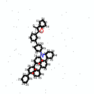 Cc1c(-c2cccc(-c3ccc(N(c4ccc(-c5ccc(-c6ccccc6)cc5)cc4)c4ccccc4-c4ccc(-c5ccccc5)cc4)cc3)c2)oc2ccccc12